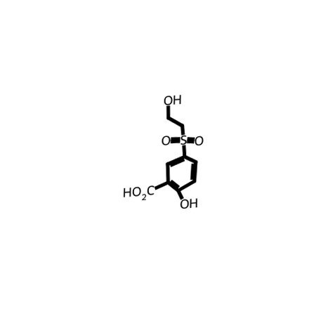 O=C(O)c1cc(S(=O)(=O)CCO)ccc1O